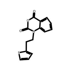 O=c1oc(=O)n(CCc2cccs2)c2ccccc12